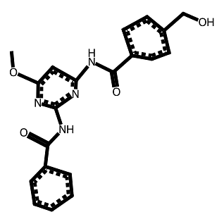 COc1cc(NC(=O)c2ccc(CO)cc2)nc(NC(=O)c2ccccc2)n1